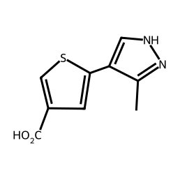 Cc1n[nH]cc1-c1cc(C(=O)O)cs1